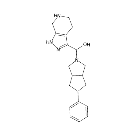 OC(c1n[nH]c2c1CCNC2)N1CC2CC(c3ccccc3)CC2C1